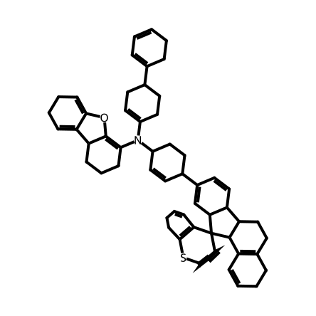 C1=CCCC(C2CC=C(N(C3=C4OC5=CCCC=C5C4CCC3)C3C=CC(C4=CC5C(C=C4)C4CCC6=C(C=CCC6)C4C54C5=C(CCC=C5)SC5C=CC=CC54)CC3)CC2)=C1